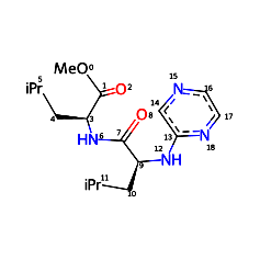 COC(=O)[C@H](CC(C)C)NC(=O)[C@H](CC(C)C)Nc1cnccn1